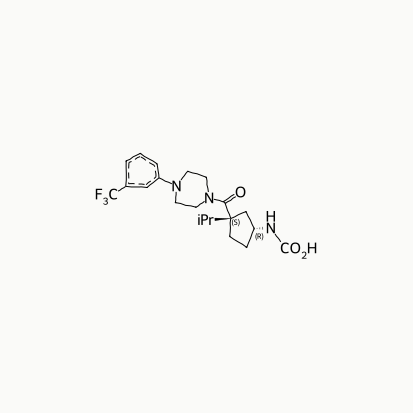 CC(C)[C@]1(C(=O)N2CCN(c3cccc(C(F)(F)F)c3)CC2)CC[C@@H](NC(=O)O)C1